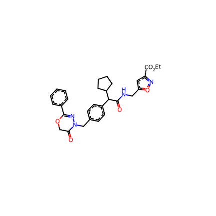 CCOC(=O)c1cc(CNC(=O)C(c2ccc(CN3N=C(c4ccccc4)OCC3=O)cc2)C2CCCC2)on1